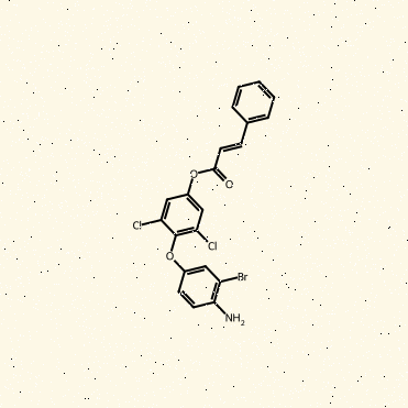 Nc1ccc(Oc2c(Cl)cc(OC(=O)/C=C/c3ccccc3)cc2Cl)cc1Br